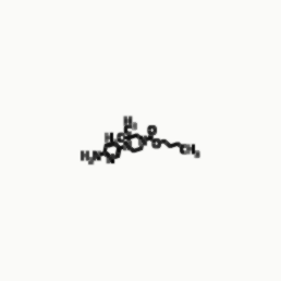 CCCCOC(=O)N1CCN(c2ccc(N)nc2)C(C)(C)C1